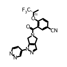 C[C@H](Oc1ccc(C#N)cc1C(=O)N1Cc2cnn(-c3ccnnc3)c2C1)C(F)(F)F